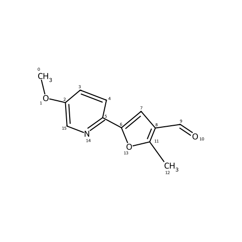 COc1ccc(-c2cc(C=O)c(C)o2)nc1